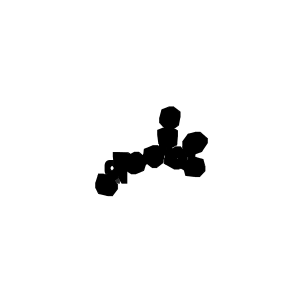 C1=CC2c3ccccc3N(c3ccccc3)C2C=C1N(c1ccc(-c2ccccc2)cc1)c1ccc(-c2ccc3c(ccc4oc(-c5ccccc5)nc43)c2)cc1